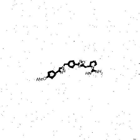 COc1ccc(-c2cn(Cc3ccc(-c4noc(CC5CCCN5C(=N)N)n4)cc3)nn2)cc1